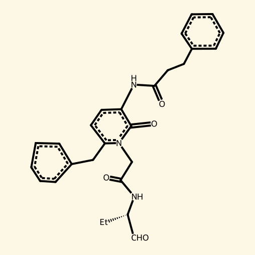 CC[C@@H](C=O)NC(=O)Cn1c(Cc2ccccc2)ccc(NC(=O)CCc2ccccc2)c1=O